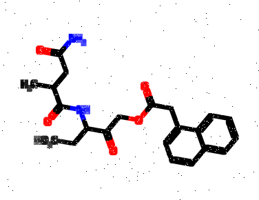 CC(CC(N)=O)C(=O)NC(CC(=O)O)C(=O)COC(=O)Cc1cccc2ccccc12